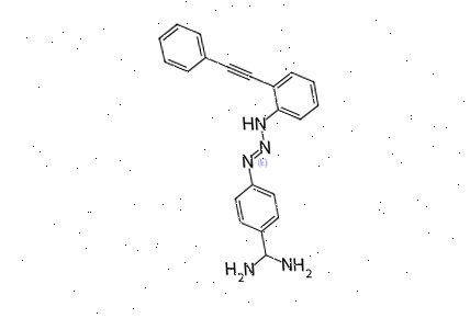 NC(N)c1ccc(/N=N/Nc2ccccc2C#Cc2ccccc2)cc1